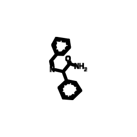 NC(=O)C(/N=C\c1ccccc1)c1ccccc1